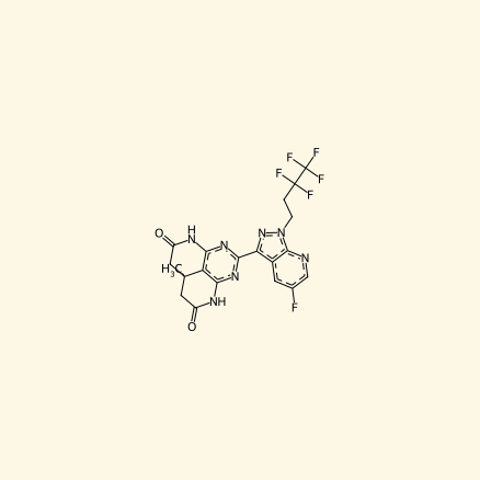 CC12CC(=O)Nc3nc(-c4nn(CCC(F)(F)C(F)(F)F)c5ncc(F)cc45)nc(c31)NC(=O)C2